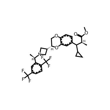 COC(=O)[C@@H](C)C(c1ccc2c(c1)O[C@H](C1CN([C@H](C)c3cc(C(F)(F)F)ccc3C(F)(F)F)C1)CO2)C1CC1